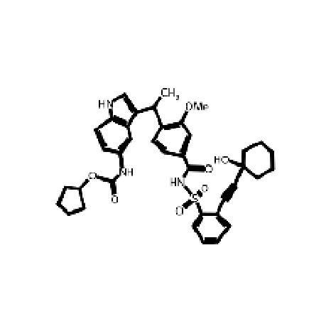 COc1cc(C(=O)NS(=O)(=O)c2ccccc2C#CC2(O)CCCCC2)ccc1C(C)c1c[nH]c2ccc(NC(=O)OC3CCCC3)cc12